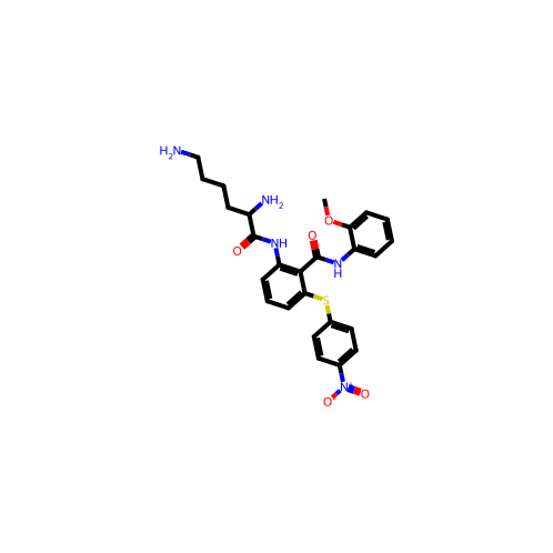 COc1ccccc1NC(=O)c1c(NC(=O)C(N)CCCCN)cccc1Sc1ccc([N+](=O)[O-])cc1